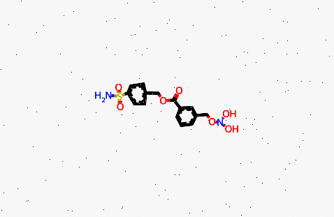 NS(=O)(=O)c1ccc(COC(=O)c2cccc(CON(O)O)c2)cc1